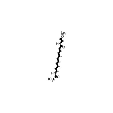 CCCOCCNC(=O)CCCCCCCCCCNC(=O)C(=O)O